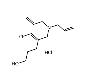 C=CCN(CC=C)CC(=CCl)CCCO.Cl